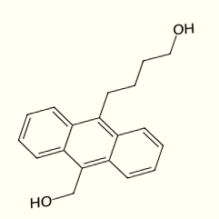 OCCCCc1c2ccccc2c(CO)c2ccccc12